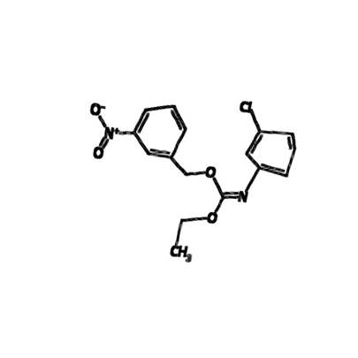 CCOC(=Nc1cccc(Cl)c1)OCc1cccc([N+](=O)[O-])c1